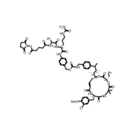 COc1ccc(C[C@H]2NC(=O)/C=C/C[C@@H]([C@H](C)[C@@H](C)C(C)c3ccc(CNC(=O)OCc4ccc(NC(=O)[C@H](CCCNC(N)=O)NC(=O)C(NC(=O)CCCC(=O)ON5C(=O)CCC5=O)C(C)C)cc4)cc3)OC(=O)[C@H](CC(C)C)OC(=O)C(C)(C)CNC2=O)cc1Cl